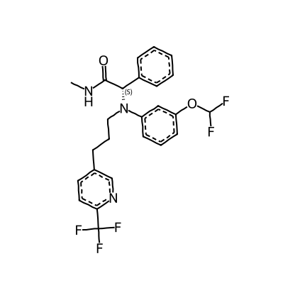 CNC(=O)[C@H](c1ccccc1)N(CCCc1ccc(C(F)(F)F)nc1)c1cccc(OC(F)F)c1